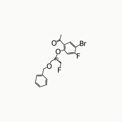 CC(=O)c1cc(Br)c(F)cc1O[C@@H](CF)COCc1ccccc1